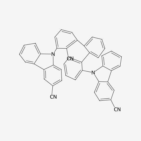 N#Cc1ccc2c(c1)c1ccccc1n2-c1ccccc1-c1ccccc1-c1cccc(-n2c3ccccc3c3cc(C#N)ccc32)c1C#N